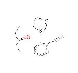 C#Cc1ccccc1-c1ccccc1.CCC(=O)CC